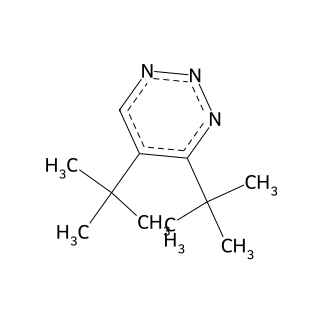 CC(C)(C)c1cnnnc1C(C)(C)C